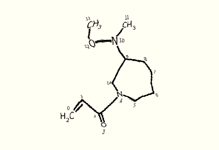 C=CC(=O)N1CCCCC(N(C)OC)C1